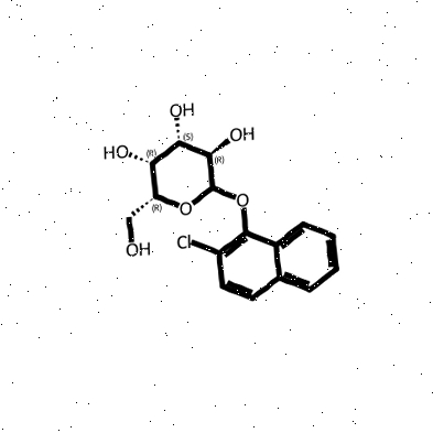 OC[C@H]1OC(Oc2c(Cl)ccc3ccccc23)[C@H](O)[C@@H](O)[C@H]1O